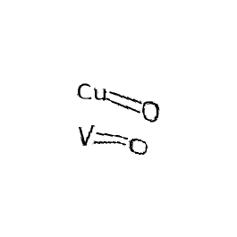 [O]=[Cu].[O]=[V]